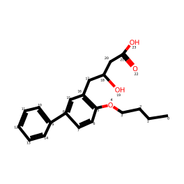 CCCCOc1ccc(-c2ccccc2)cc1CC(O)CC(=O)O